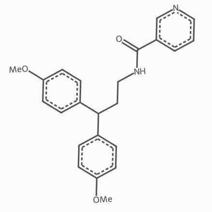 COc1ccc(C(CCNC(=O)c2cccnc2)c2ccc(OC)cc2)cc1